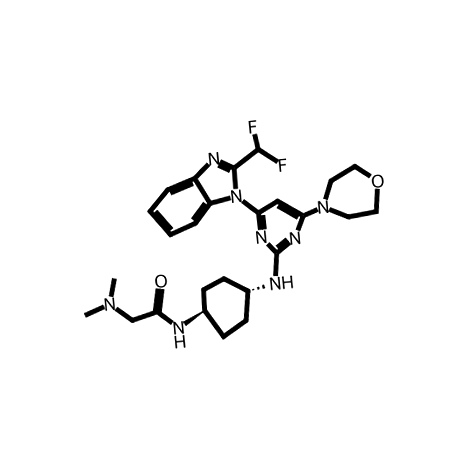 CN(C)CC(=O)N[C@H]1CC[C@H](Nc2nc(N3CCOCC3)cc(-n3c(C(F)F)nc4ccccc43)n2)CC1